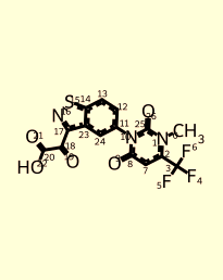 Cn1c(C(F)(F)F)cc(=O)n(-c2ccc3snc(C(=O)C(=O)O)c3c2)c1=O